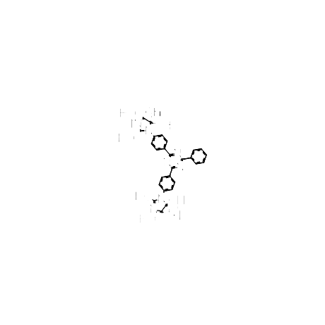 CC1=NC(C)(C)C(C)(C)N1c1ccc(-c2nc(-c3ccccc3)nc(-c3ccc(N4C(C)NC(C)(C)C4(C)C)cc3)n2)cc1